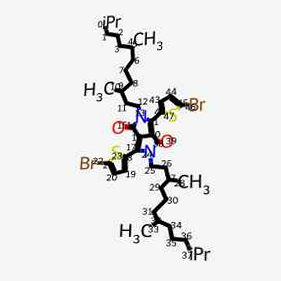 CC(C)CCCC(C)CCCC(C)CCN1C(=O)C2=C(c3ccc(Br)s3)N(CCC(C)CCCC(C)CCCC(C)C)C(=O)C2=C1c1ccc(Br)s1